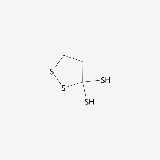 SC1(S)CCSS1